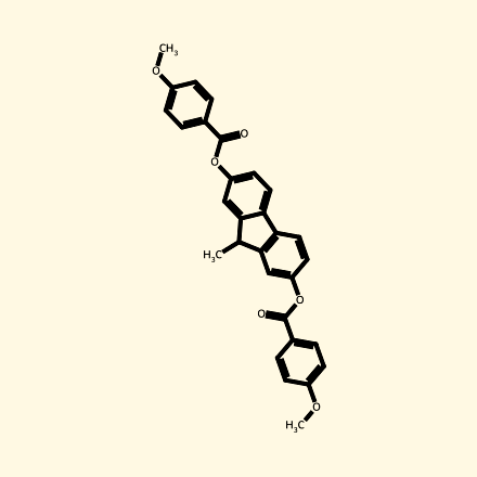 COc1ccc(C(=O)Oc2ccc3c(c2)C(C)c2cc(OC(=O)c4ccc(OC)cc4)ccc2-3)cc1